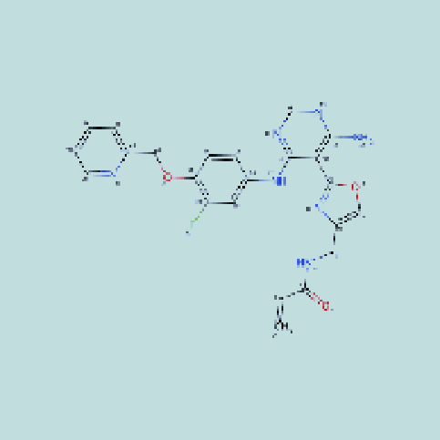 C=CC(=O)NCc1coc(-c2c(N)ncnc2Nc2ccc(OCc3ccccn3)c(F)c2)n1